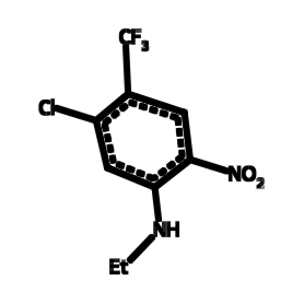 CCNc1cc(Cl)c(C(F)(F)F)cc1[N+](=O)[O-]